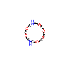 C1COCCOCCNCCOCCOCCOCCOCCN1